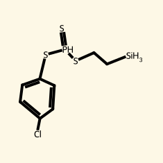 [SiH3]CCS[PH](=S)Sc1ccc(Cl)cc1